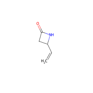 C=CC1CC(=O)N1